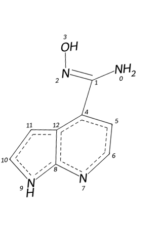 NC(=NO)c1ccnc2[nH]ccc12